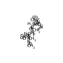 C=CC(=O)N1CC(CN(C)c2nc(OC[C@]34CCC(C(=C)C(=O)N5CCC(/C=[N+](\C)c6nc(OC[C@]78CCCN7C[C@@H](F)C8)nc7c(F)c(-c8cccc9cccc(Cl)c89)ncc67)C5)N3C[C@@H](F)C4)nc3c(F)c(-c4cccc5cccc(Cl)c45)ncc23)C1